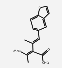 CN/C(C)=C(C(=O)C=O)\C(C)=C\c1ccc2occc2c1